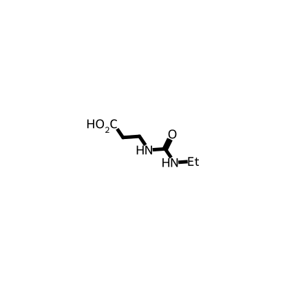 CCNC(=O)NCCC(=O)O